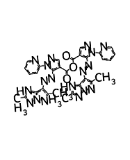 Cc1nn2nc(C)c(/N=N/c3c(C(=O)OC(=O)c4cnn(-c5ccccn5)c4/N=N/c4c(C)nn5nc(C)[nH]c45)cnn3-c3ccccn3)c2[nH]1